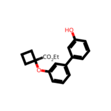 CCOC(=O)C1(Oc2cccc(-c3cccc(O)c3)c2)CCC1